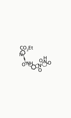 CCOC(=O)c1ccc(C#CC(=O)NCc2ccc3c(c2)CN(C2CCC(=O)NC2=O)C3=O)nc1